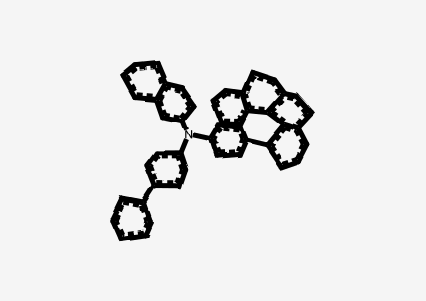 c1ccc(-c2ccc(N(c3ccc(-c4cccc5ccc6ccc7ccccc7c6c45)cc3)c3ccc4ccccc4c3)cc2)cc1